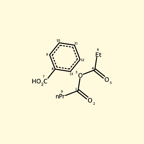 CCCC(=O)OC(=O)CC.O=C(O)c1ccccc1